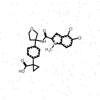 Cn1c(C(=O)NC2(c3ccc(C4(C(=O)O)CC4)cc3)CCOC2)cc2c(Cl)c(Cl)ccc21